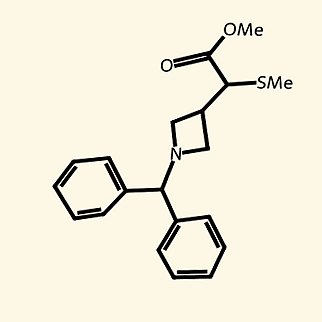 COC(=O)C(SC)C1CN(C(c2ccccc2)c2ccccc2)C1